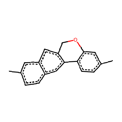 Cc1ccc2c(c1)OCc1cc3cc(C)ccc3cc1-2